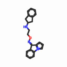 c1ccc2c(c1)CC(NCCON=C1c3ccccc3-n3cccc31)C2